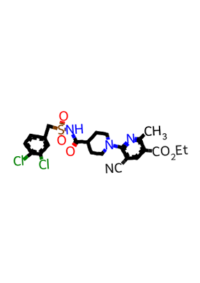 CCOC(=O)c1cc(C#N)c(N2CCC(C(=O)NS(=O)(=O)Cc3ccc(Cl)c(Cl)c3)CC2)nc1C